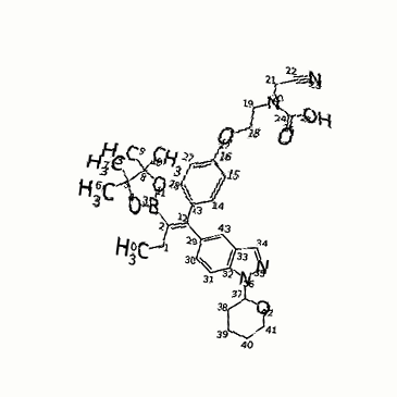 CC/C(B1OC(C)(C)C(C)(C)O1)=C(/c1ccc(OCCN(CC#N)C(=O)O)cc1)c1ccc2c(cnn2C2CCCCO2)c1